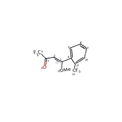 CO/C(=C\C(=O)C(F)(F)F)c1ccccc1C(F)(F)F